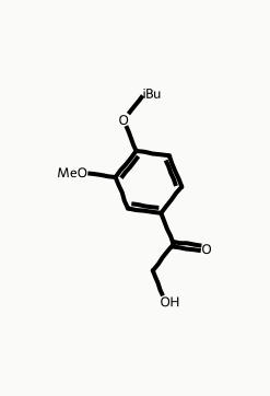 CCC(C)Oc1ccc(C(=O)CO)cc1OC